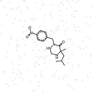 CC(C)CC1(C)NCNN(Cc2ccc([N+](=O)[O-])cc2)C1=O